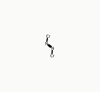 [Cr][N]=[N][Cr]